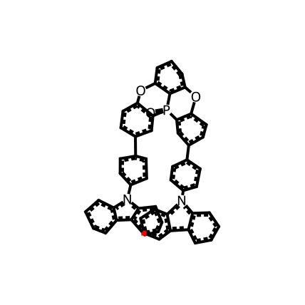 O=P12c3cc(-c4ccc(-n5c6ccccc6c6ccccc65)cc4)ccc3Oc3cccc(c31)Oc1ccc(-c3ccc(-n4c5ccccc5c5ccccc54)cc3)cc12